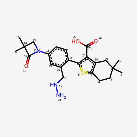 CC1(C)CCc2sc(-c3ccc(N4CC(C)(C)C4=O)cc3CNN)c(C(=O)O)c2C1